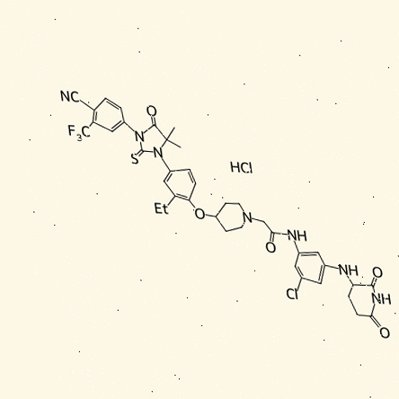 CCc1cc(N2C(=S)N(c3ccc(C#N)c(C(F)(F)F)c3)C(=O)C2(C)C)ccc1OC1CCN(CC(=O)Nc2cc(Cl)cc(NC3CCC(=O)NC3=O)c2)CC1.Cl